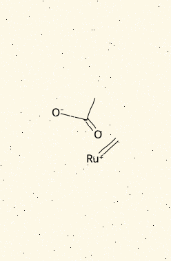 CC(=O)[O-].[CH2]=[Ru+]